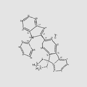 CCC1(CC)c2ccccc2-c2ccc(-c3nc4ccccc4n3-c3ccccc3)cc21.[Ir]